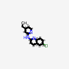 CCc1ccnc(Nc2ccc3cc(Cl)ccc3n2)c1